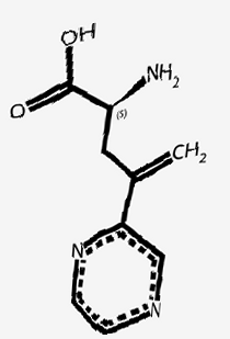 C=C(C[C@H](N)C(=O)O)c1cnccn1